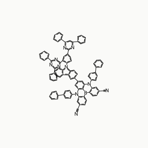 N#Cc1ccc2c(c1)N(c1ccc(-c3ccccc3)cc1)c1cc(-c3ccc4c(c3)c3ccccc3n4-c3ccc(-c4nc(-c5ccccc5)cc(-c5ccccc5)n4)cc3-c3nc(-c4ccccc4)nc(-c4ccccc4)n3)cc3c1B2c1ccc(C#N)cc1N3c1ccc(-c2ccccc2)cc1